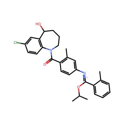 Cc1cc(/N=C(\OC(C)C)c2ccccc2C)ccc1C(=O)N1CCCC(O)c2cc(Cl)ccc21